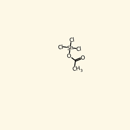 CC(=O)[O][Sn]([Cl])([Cl])[Cl]